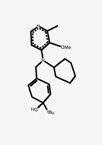 COc1c(N(CC2=CCC(O)(C(C)(C)C)C=C2)C2CCCCC2)ccnc1C